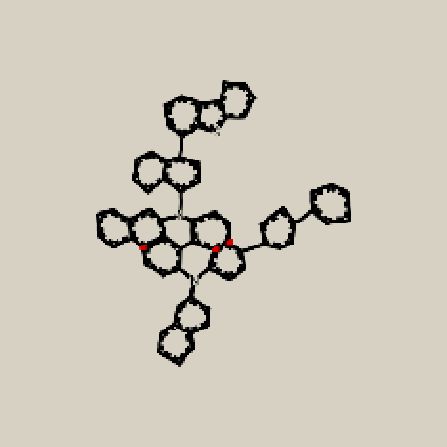 c1ccc(-c2ccc(-c3ccc(N(c4ccc5ccccc5c4)c4ccccc4-c4ccccc4N(c4ccc5ccccc5c4)c4ccc(-c5cccc6c5sc5ccccc56)c5ccccc45)cc3)cc2)cc1